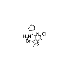 Cc1sc2nc(Cl)nc(C(N)c3ccccn3)c2c1Br